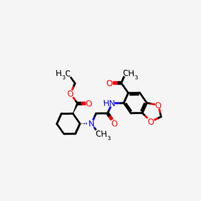 CCOC(=O)[C@@H]1CCCC[C@H]1N(C)CC(=O)Nc1cc2c(cc1C(C)=O)OCO2